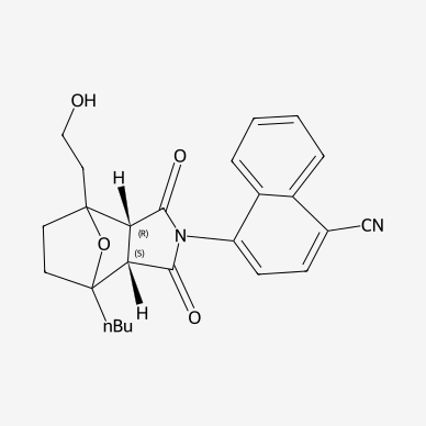 CCCCC12CCC(CCO)(O1)[C@@H]1C(=O)N(c3ccc(C#N)c4ccccc34)C(=O)[C@@H]12